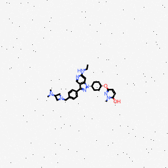 CCNc1cc2c(cn1)c(-c1ccc(CN3CC(N(C)C)C3)cc1)nn2[C@H]1CC[C@@H](OC2=NN(C)C(O)C=C2)CC1